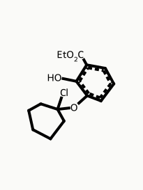 CCOC(=O)c1cccc(OC2(Cl)CCCCC2)c1O